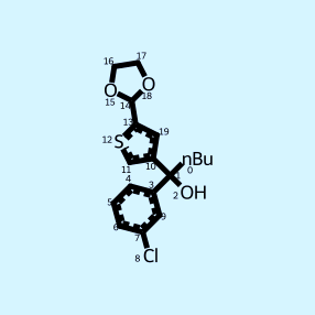 CCCCC(O)(c1cccc(Cl)c1)c1csc(C2OCCO2)c1